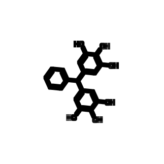 Oc1cc(C(c2ccccc2)c2cc(O)c(O)c(O)c2)cc(O)c1O